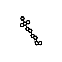 c1ccc(-c2c3ccccc3c(-c3ccc4cc(-c5ccc6c(ccc7c6oc6ccc8ccccc8c67)c5)ccc4c3)c3ccccc23)cc1